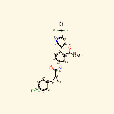 CCC(F)(F)c1ccc(-c2ccc(NC(=O)C3CC3c3ccc(Cl)cc3)cc2C(=O)OC)cn1